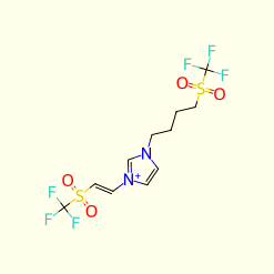 O=S(=O)(C=C[n+]1ccn(CCCCS(=O)(=O)C(F)(F)F)c1)C(F)(F)F